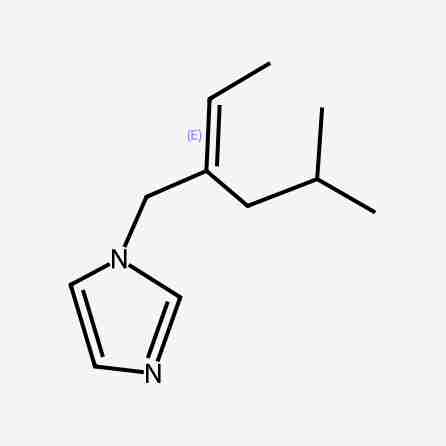 C/C=C(\CC(C)C)Cn1ccnc1